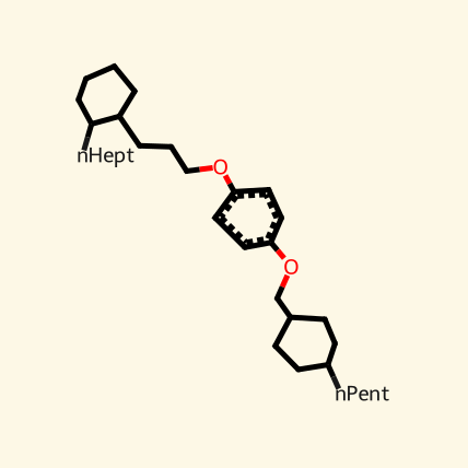 CCCCCCCC1CCCCC1CCCOc1ccc(OCC2CCC(CCCCC)CC2)cc1